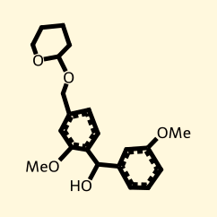 COc1cccc(C(O)c2ccc(COC3CCCCO3)cc2OC)c1